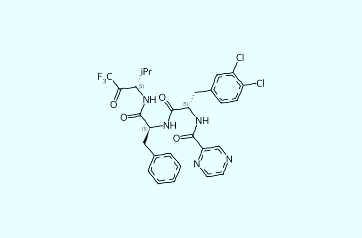 CC(C)[C@H](NC(=O)[C@H](Cc1ccccc1)NC(=O)[C@H](Cc1ccc(Cl)c(Cl)c1)NC(=O)c1cnccn1)C(=O)C(F)(F)F